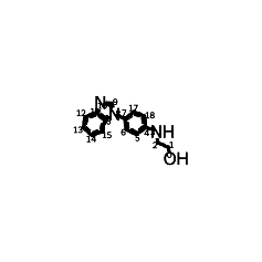 OCCNc1ccc(-n2cnc3ccccc32)cc1